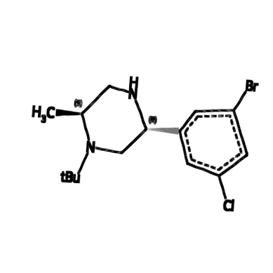 C[C@H]1CN[C@H](c2cc(Cl)cc(Br)c2)CN1C(C)(C)C